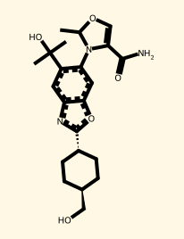 CC1OC=C(C(N)=O)N1c1cc2oc([C@H]3CC[C@H](CO)CC3)nc2cc1C(C)(C)O